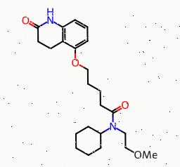 COCCN(C(=O)CCCCOc1cccc2c1CCC(=O)N2)C1CCCCC1